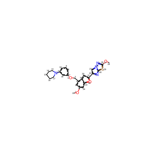 COc1cc(COc2cccc(N3CCCCC3)c2)c2cc(-c3cn4nc(OC)sc4n3)oc2c1